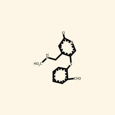 O=Cc1ccccc1Sc1cnc(Cl)cc1CNC(=O)O